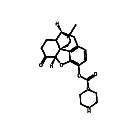 CN1CC[C@@]23c4c5ccc(OC(=O)N6CCNCC6)c4O[C@@H]2C(=O)CCC3[C@@H]1C5